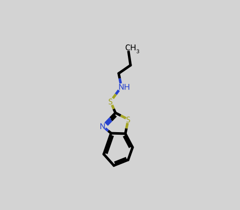 CCCNSc1nc2ccccc2s1